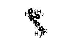 CC(C)c1ccccc1C1CC(Oc2ccccc2)CCN1C1CC2(CCN(c3ccc(C(N)=O)cc3)CC2)C1